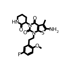 COc1ccc(F)cc1CCn1c(=O)n(C2CCCNC2=O)c(=O)c2c(C)c(N)sc21